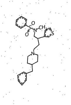 CN(CC(CCN1CCC(Cc2ccccc2)CC1)c1ccsc1)S(=O)(=O)c1ccccc1